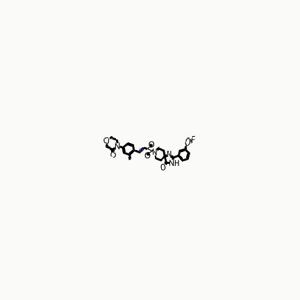 Cc1cc(N2CCOCC2=O)ccc1/C=C/S(=O)(=O)N1CCC2(CC1)N=C(c1cccc(OF)c1)NC2=O